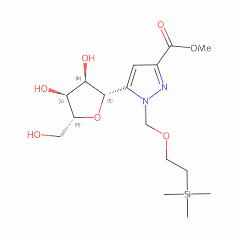 COC(=O)c1cc([C@@H]2O[C@H](CO)[C@@H](O)[C@H]2O)n(COCC[Si](C)(C)C)n1